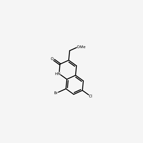 COCc1cc2cc(Cl)cc(Br)c2[nH]c1=O